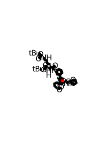 CC(C)(C)OC(=O)NCCCC[C@H](NC(=O)OC(C)(C)C)C(=O)Nc1cccc(-c2ccc([C@@]3(CC(=O)NOC4CCCCO4)CCCCS3(=O)=O)s2)c1